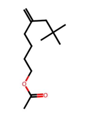 C=C(CCCCOC(C)=O)CC(C)(C)C